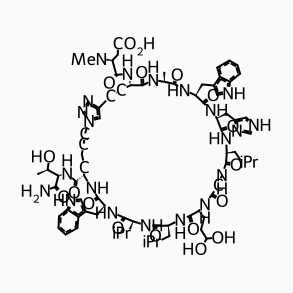 CN[C@@H](CC(=O)O)C(=O)N[C@H]1CCc2cn(nn2)CCCC[C@@H](C(=O)N[C@H](C(N)=O)[C@@H](C)O)NC(=O)[C@H](Cc2c[nH]c3ccccc23)NC(=O)[C@H](C(C)C)NC(=O)[C@H](CC(C)C)NC(=O)[C@H](CCC(O)O)NC(=O)CNC(=O)[C@H](CC(C)C)NC(=O)[C@H](Cc2c[nH]cn2)NC(=O)[C@H](Cc2c[nH]c3ccccc23)NC(=O)[C@H](C)NC1=O